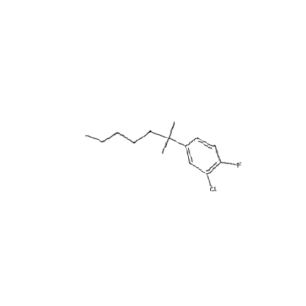 CCCCCC(C)(C)c1ccc(F)c(Cl)c1